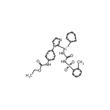 CCOC(=O)Nc1ccc(-n2ccnc2[C@H](Cc2ccccc2)NC(=O)NS(=O)(=O)c2ccccc2C)cc1